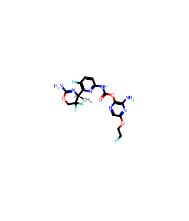 C[C@]1(c2nc(NC(=O)Oc3ncc(OCCF)nc3N)ccc2F)N=C(N)OCC1(F)F